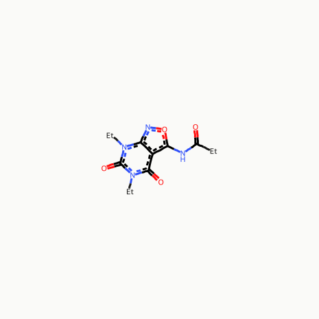 CCC(=O)Nc1onc2c1c(=O)n(CC)c(=O)n2CC